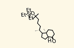 CC[Si](CC)(CC)OC(C)(C)CCC[C@@H](C)C1CC[C@H]2C(=O)CCC[C@]12C